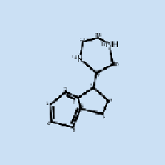 c1ccc2c(c1)CCC2C1CNCC[N]1